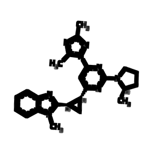 Cc1nc(C)n(-c2cc([C@@H]3C[C@H]3c3nc4ccccc4n3C)nc(N3CCC[C@H]3C)n2)n1